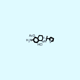 CCCC(C)(c1cccs1)[C@H]1CCc2c(ccc(N)c2OC(C)=O)C1.Cl